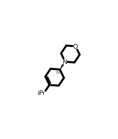 CC(C)C1=CC[C@@H](N2CCOCC2)CC1